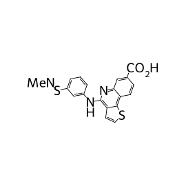 CNSc1cccc(Nc2nc3cc(C(=O)O)ccc3c3sccc23)c1